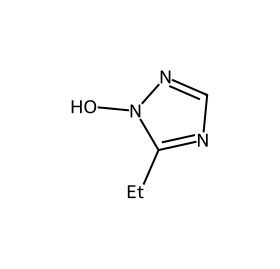 CCc1ncnn1O